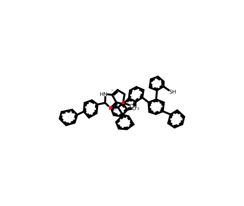 CC1C/C=C(\c2cccc3oc4c(-c5ccc(-c6ccccc6)cc5-c5ccccc5S)cccc4c23)NC(c2ccc(-c3ccccc3)cc2)/N=C\1c1ccccc1